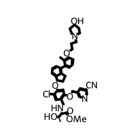 COC(=O)[C@@H](NCc1cc(Cl)c(O[C@H]2CCc3c(-c4cccc(OCCCN5CCC(O)CC5)c4C)cccc32)cc1OCc1cncc(C#N)c1)[C@@H](C)O